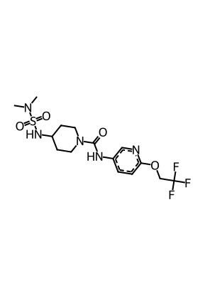 CN(C)S(=O)(=O)NC1CCN(C(=O)Nc2ccc(OCC(F)(F)F)nc2)CC1